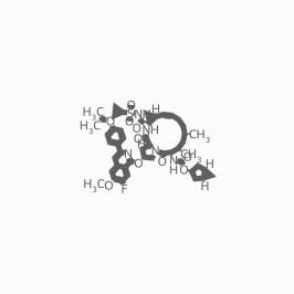 COc1cc2cc(-c3ccc(OC(C)C)cc3)nc(O[C@@H]3C[C@H]4C(=O)N[C@]5(C(=O)NS(=O)(=O)C6CC6)C[C@H]5/C=C\CC[C@H](C)C[C@@H](C)[C@H](NC(=O)O[C@@H]5C[C@@H]6C[C@@H]6C5)C(=O)N4C3)c2cc1F